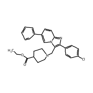 CCOC(=O)C1CCN(Cc2c(-c3ccc(Cl)cc3)nc3ccc(-c4ccccc4)cn23)CC1